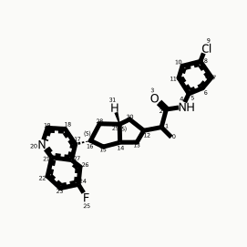 CC(C(=O)Nc1ccc(Cl)cc1)C1CC2C[C@H](c3ccnc4ccc(F)cc34)C[C@@H]2C1